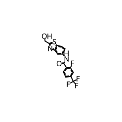 O=C(Nc1ccc2sc(CO)nc2c1)c1ccc(C(F)(F)F)cc1F